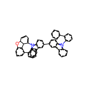 C1=CC2Oc3cccc(-c4ccccc4)c3C2C(n2c3ccccc3c3cc(-c4ccc5c(c4)c4ccccc4n5-c4ccccc4-c4ccccc4)ccc32)=C1